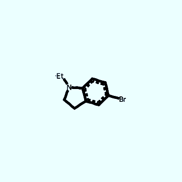 C[CH]N1CCc2cc(Br)ccc21